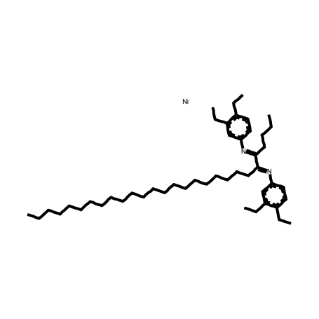 CCCCCCCCCCCCCCCCCCCCCCC(=Nc1ccc(CC)c(CC)c1)C(CCCC)=Nc1ccc(CC)c(CC)c1.[Ni]